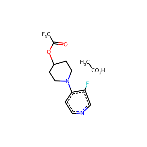 CC(=O)O.O=C(OC1CCN(c2ccncc2F)CC1)C(F)(F)F